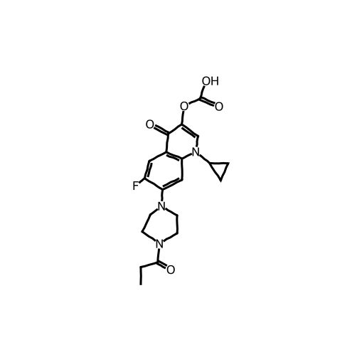 CCC(=O)N1CCN(c2cc3c(cc2F)c(=O)c(OC(=O)O)cn3C2CC2)CC1